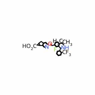 CC1(C)CNC(c2ccccc2C(F)(F)F)c2c1ccc(COc1cc3c(cn1)C1C(C3)C1C(=O)O)c2F